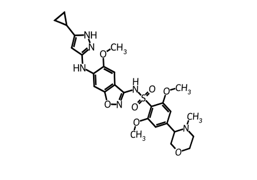 COc1cc2c(NS(=O)(=O)c3c(OC)cc(C4COCCN4C)cc3OC)noc2cc1Nc1cc(C2CC2)[nH]n1